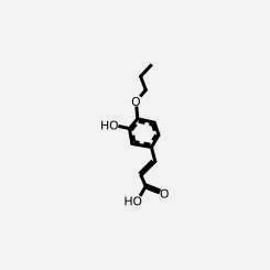 CCCOc1ccc(C=CC(=O)O)cc1O